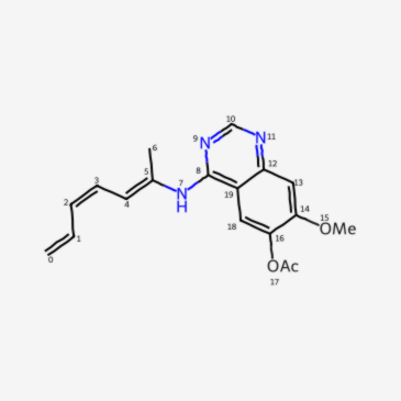 C=C/C=C\C=C(/C)Nc1ncnc2cc(OC)c(OC(C)=O)cc12